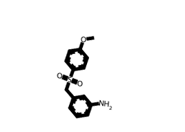 COc1ccc(S(=O)(=O)Cc2cccc(N)c2)cc1